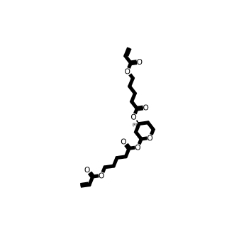 C=CC(=O)OCCCCC(=O)OC1C[C@H](OC(=O)CCCCOC(=O)C=C)CCO1